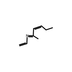 C=C/N=C(C)/C=C\CC